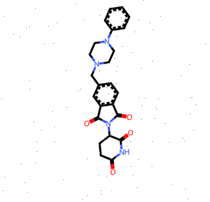 O=C1CCC(N2C(=O)c3ccc(CN4CCN(c5ccccc5)CC4)cc3C2=O)C(=O)N1